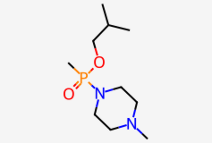 CC(C)COP(C)(=O)N1CCN(C)CC1